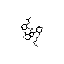 COCCOc1cnccc1-c1[nH]c2c(c1Nc1ccccc1OC(F)F)C(=O)NCC2